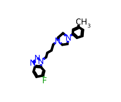 Cc1cccc(N2CCN(CCCCn3nnc4ccc(F)cc43)CC2)c1